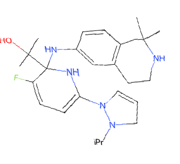 CC(C)N1CC=CN1C1=CC=C(F)C(Nc2ccc3c(c2)CCNC3(C)C)(C(C)(C)O)N1